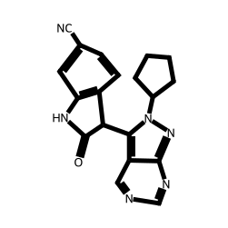 N#Cc1ccc2c(c1)NC(=O)C2c1c2cncnc2nn1C1CCCC1